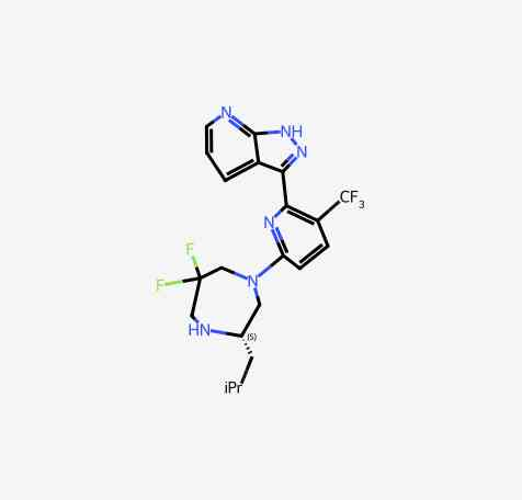 CC(C)C[C@H]1CN(c2ccc(C(F)(F)F)c(-c3n[nH]c4ncccc34)n2)CC(F)(F)CN1